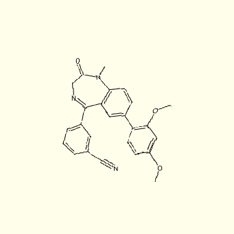 COc1ccc(-c2ccc3c(c2)C(c2cccc(C#N)c2)=NCC(=O)N3C)c(OC)c1